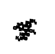 CC(OC(=O)NC(N)=O)c1sc(N)nc1-c1ccc(Cl)cc1